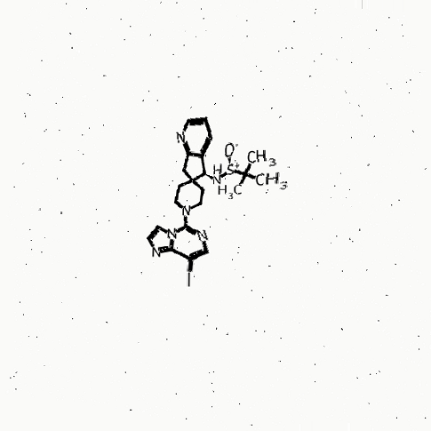 CC(C)(C)[S@+]([O-])N[C@@H]1c2cccnc2CC12CCN(c1ncc(I)c3nccn13)CC2